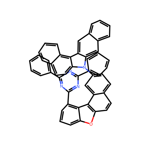 c1ccc(-c2nc(-c3ccccc3)nc(-c3cccc4oc5ccc6ccc(-n7c8cc9ccccc9cc8c8c9ccccc9ccc87)cc6c5c34)n2)cc1